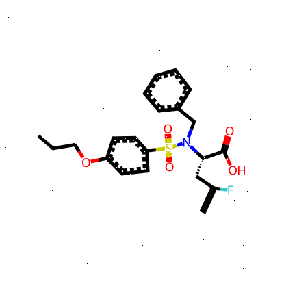 C=C(F)C[C@@H](C(=O)O)N(Cc1ccccc1)S(=O)(=O)c1ccc(OCCC)cc1